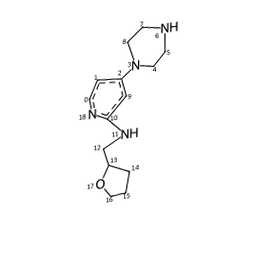 c1cc(N2CCNCC2)cc(NCC2CCCO2)n1